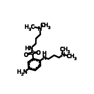 CN(C)CCCNc1ccc(N)cc1S(=O)(=O)NCCCN(C)C